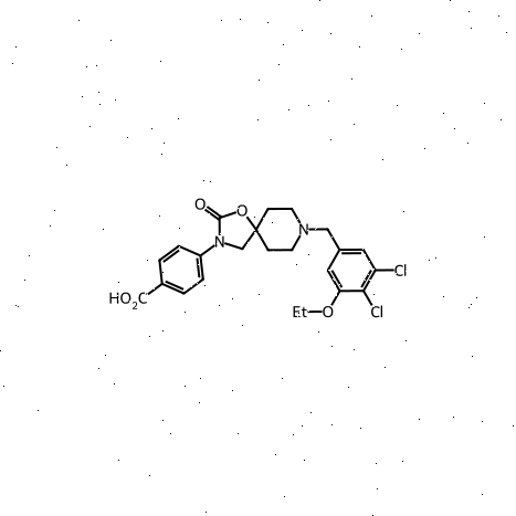 CCOc1cc(CN2CCC3(CC2)CN(c2ccc(C(=O)O)cc2)C(=O)O3)cc(Cl)c1Cl